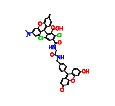 C=c1ccc2c(c1)Oc1cc(N(C)C)ccc1C=2c1c(Cl)cc(C(=O)NCC(=O)NCc2ccc(-c3c4ccc(=O)cc-4oc4cc(O)ccc34)cc2)c(Cl)c1C(=O)O